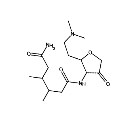 CC(CC(N)=O)C(C)CC(=O)NC1C(=O)COC1CCN(C)C